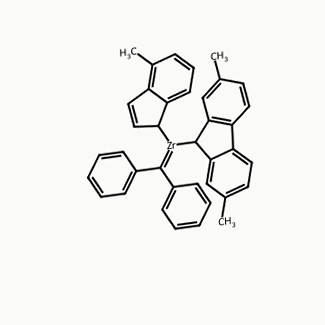 Cc1ccc2c(c1)[CH]([Zr](=[C](c1ccccc1)c1ccccc1)[CH]1C=Cc3c(C)cccc31)c1cc(C)ccc1-2